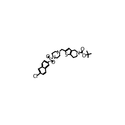 CC(C)(C)OC(=O)N1CCc2sc(CN3CCN(S(=O)(=O)c4ccc5cc(Cl)ccc5c4)CC3)cc2C1